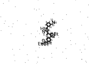 C=Nc1[nH]c(-c2cccc(CN(C)C)c2)cc1C(=C)c1cn(CC)nc1-c1ccc(NC(=O)NCC)cc1